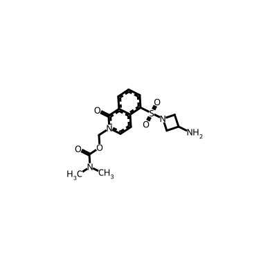 CN(C)C(=O)OCn1ccc2c(S(=O)(=O)N3CC(N)C3)cccc2c1=O